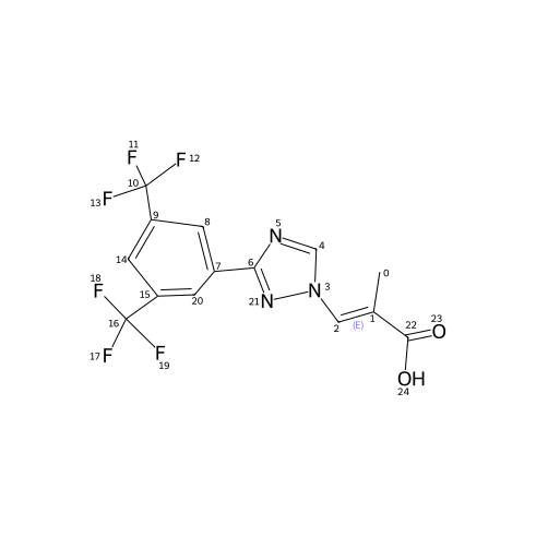 C/C(=C\n1cnc(-c2cc(C(F)(F)F)cc(C(F)(F)F)c2)n1)C(=O)O